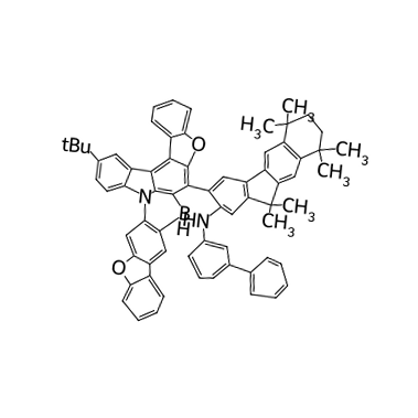 CC(C)(C)c1ccc2c(c1)c1c3c(oc4ccccc43)c(-c3cc4c(cc3Nc3cccc(-c5ccccc5)c3)C(C)(C)c3cc5c(cc3-4)C(C)(C)CCC5(C)C)c3c1n2-c1cc2oc4ccccc4c2cc1B3